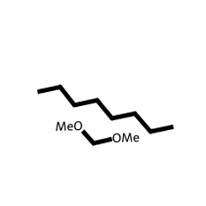 CCCCCCCC.COCOC